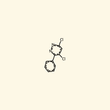 Clc1cc(Cl)c(-c2ccccc2)nn1